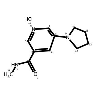 CNC(=O)c1cncc(N2CCCC2)c1.Cl